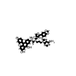 CC(C)N(CCCN1C(Sc2cc3c(cc2-c2ccco2)OCO3)=NC2C1=NC=NC2N)C(=S)Nc1ccc(-c2c3ccc(=O)cc-3oc3cc(O)ccc23)c(C(=O)O)c1